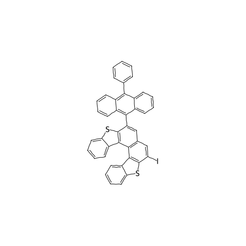 Ic1cc2cc(-c3c4ccccc4c(-c4ccccc4)c4ccccc34)c3sc4ccccc4c3c2c2c1sc1ccccc12